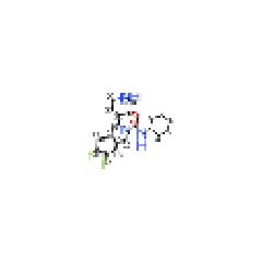 O=C(NC1CCCCC1)N(Cc1ccc(F)c(F)c1)CC1CCNCC1